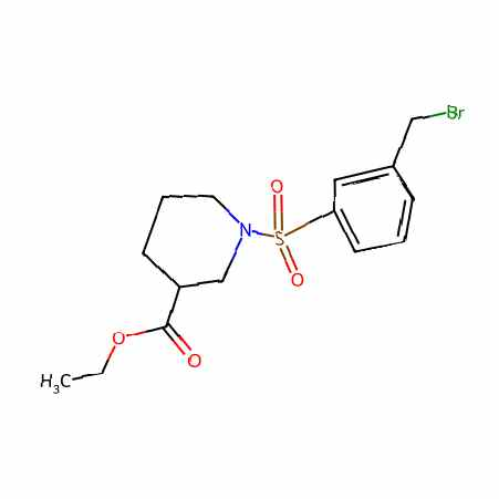 CCOC(=O)C1CCCN(S(=O)(=O)c2cccc(CBr)c2)C1